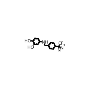 Oc1ccc(NCc2ccc(C3(C(F)(F)F)N=N3)cc2)cc1O